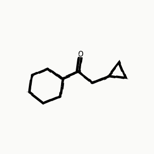 O=C(CC1CC1)C1CC[CH]CC1